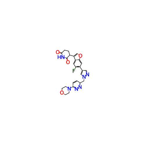 O=C1CCC(c2coc3cc(-c4cnn(Cc5ccc(N6CCOCC6)nn5)c4)c(F)cc23)C(=O)N1